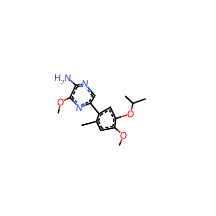 COc1cc(C)c(-c2cnc(N)c(OC)n2)cc1OC(C)C